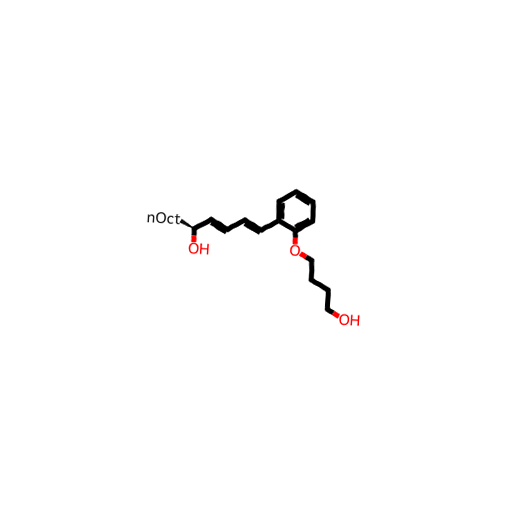 CCCCCCCC[C@H](O)/C=C/C=C/c1ccccc1OCCCCO